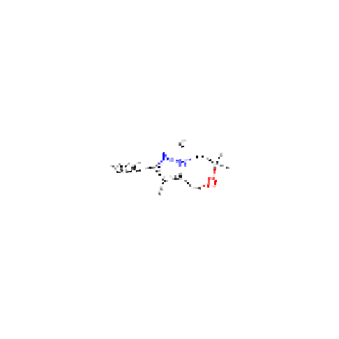 Cc1c(C(=O)[O-])nn2c1COC(C)(C)C2.[K+]